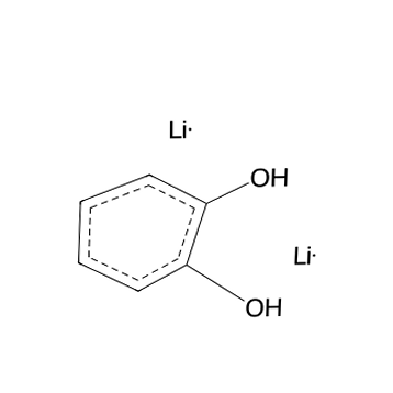 Oc1ccccc1O.[Li].[Li]